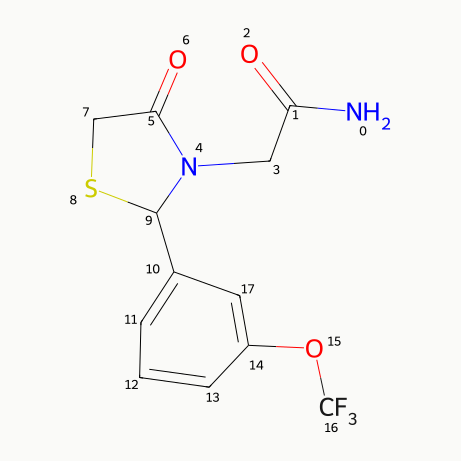 NC(=O)CN1C(=O)CSC1c1cccc(OC(F)(F)F)c1